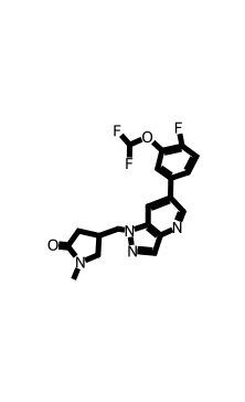 CN1CC(Cn2ncc3ncc(-c4ccc(F)c(OC(F)F)c4)cc32)CC1=O